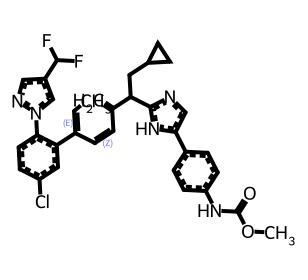 C=C(/C=C\C(=C/C)c1cc(Cl)ccc1-n1cc(C(F)F)cn1)C(CC1CC1)c1ncc(-c2ccc(NC(=O)OC)cc2)[nH]1